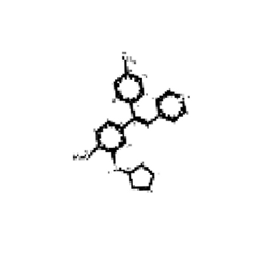 COc1ccc(C(=Cc2ccncc2)c2ccc(C)cc2)cc1OC1CCCC1